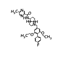 CCOc1cc(CN2CC[C@H]3C(NC(=O)c4cnc(C)cn4)CC[C@H]32)cc(OCC)c1-c1ccc(F)cc1